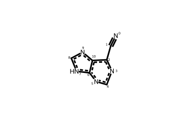 N#Cc1ncnc2[nH]cnc12